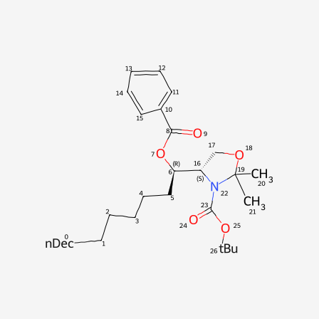 CCCCCCCCCCCCCCC[C@@H](OC(=O)c1ccccc1)[C@@H]1COC(C)(C)N1C(=O)OC(C)(C)C